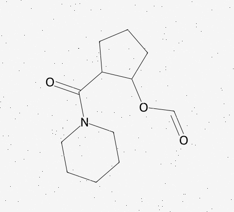 O=COC1CCCC1C(=O)N1CCCCC1